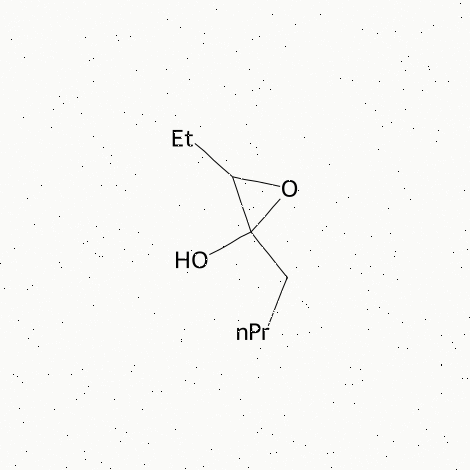 CCCCC1(O)OC1CC